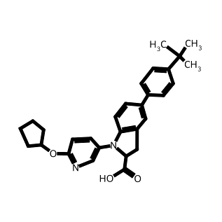 CC(C)(C)c1ccc(-c2ccc3c(c2)CC(C(=O)O)N3c2ccc(OC3CCCC3)nc2)cc1